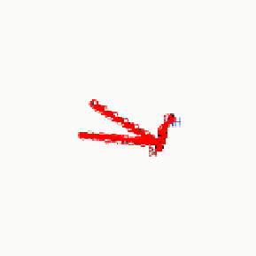 COCCOCCOCCOCCOCCOCCOCCOCCOCCOCCOCCOCCCC1(CCCOCCOCCOCCOCCOCCOCCOCCOCCOCCOCCOCCOC)c2cc(Br)ccc2-c2ccc(-c3ccc(OCCCCNC(=O)OC(C)(C)C)cc3)cc21